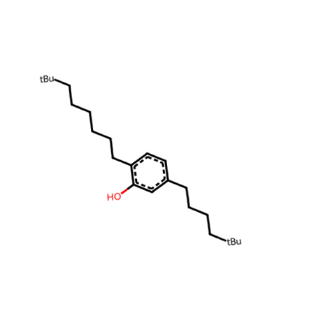 CC(C)(C)CCCCCCc1ccc(CCCCC(C)(C)C)cc1O